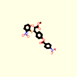 COC(=O)[C@H](O)[C@@H](Sc1ccccc1[N+](=O)[O-])c1ccc(OC(=O)c2ccc([N+](=O)[O-])cc2)cc1